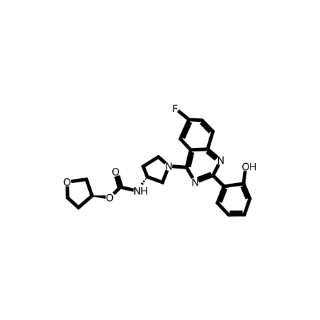 O=C(N[C@@H]1CCN(c2nc(-c3ccccc3O)nc3ccc(F)cc23)C1)O[C@H]1CCOC1